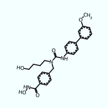 COc1cccc(-c2ccc(NC(=O)N(CCCCO)Cc3ccc(C(=O)NO)cc3)cc2)c1